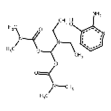 CCN(CC)C(OC(=O)N(C)C)OC(=O)N(C)C.Nc1ncccc1O